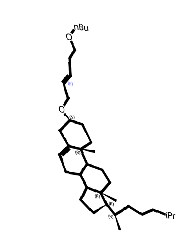 CCCCOCC/C=C/CO[C@H]1CC[C@@]2(C)C(=CCC3C2CC[C@@]2(C)C3CC[C@@H]2[C@H](C)CCCC(C)C)C1